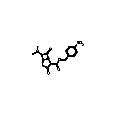 CN(C)C1C(=O)N2C(C(=O)OCc3ccc([N+](=O)[O-])cc3)C(=O)CC12